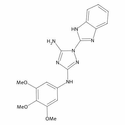 COc1cc(Nc2nc(N)n(-c3nc4ccccc4[nH]3)n2)cc(OC)c1OC